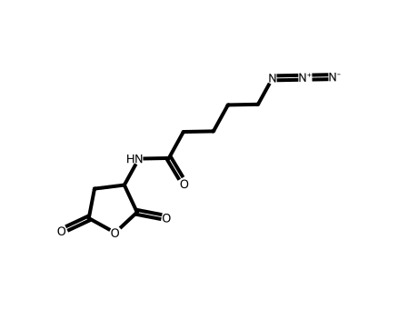 [N-]=[N+]=NCCCCC(=O)NC1CC(=O)OC1=O